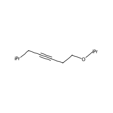 CC(C)CC#CCCOC(C)C